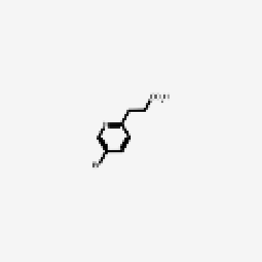 O=C(O)CCc1ccc(Br)cn1